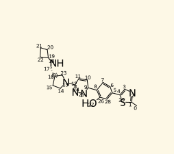 Cc1ncc(-c2ccc(-c3ccc(N4CC[C@H](CNC5CCC5)C4)nn3)c(O)c2)s1